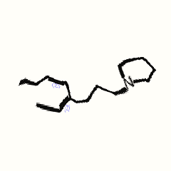 C/C=C(\C=C/CC)CCCN1CCCC1